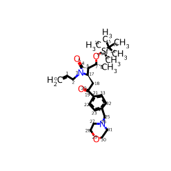 C=CCN1C(=O)[C@H]([C@@H](C)O[Si](C)(C)C(C)(C)C)[C@H]1CC(=O)c1ccc(CN2CCOCC2)cc1